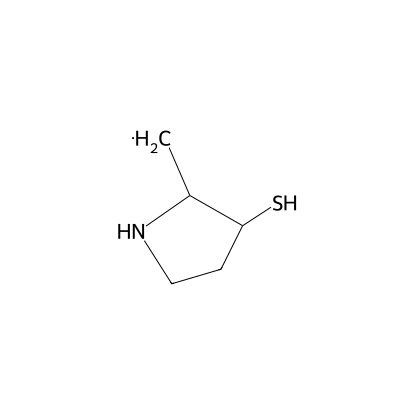 [CH2]C1NCCC1S